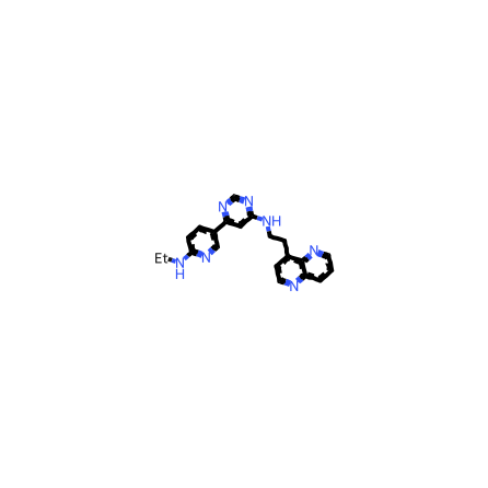 CCNc1ccc(-c2cc(NCCc3ccnc4cccnc34)ncn2)cn1